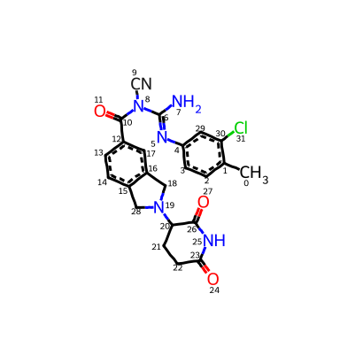 Cc1ccc(N=C(N)N(C#N)C(=O)c2ccc3c(c2)CN(C2CCC(=O)NC2=O)C3)cc1Cl